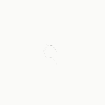 CC1=CC(N)NC=N1